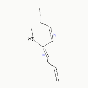 C=C/C=C(BC)\C=C/CC